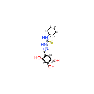 Oc1cc(O)c(/C=N/NC(=S)NC2CCCCC2)cc1O